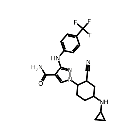 N#CC1CC(NC2CC2)CCC1n1cc(C(N)=O)c(Nc2ccc(C(F)(F)F)cc2)n1